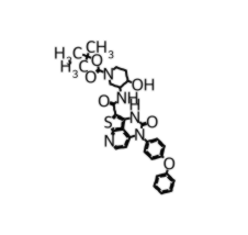 CC(C)(C)OC(=O)N1CCC(O)C(NC(=O)c2sc3nccc4c3c2NC(=O)N4c2ccc(Oc3ccccc3)cc2)C1